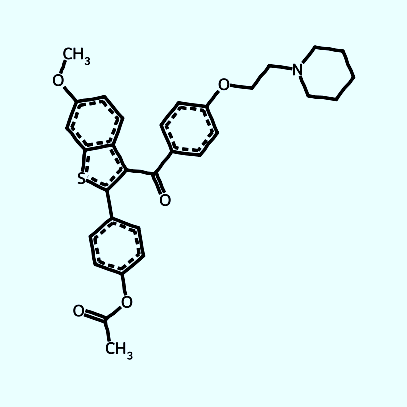 COc1ccc2c(C(=O)c3ccc(OCCN4CCCCC4)cc3)c(-c3ccc(OC(C)=O)cc3)sc2c1